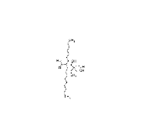 CCC(CO)(CO)CO.CCCCCCCCCC(CCCCCCC)C(=O)O